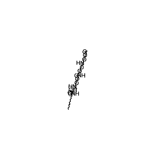 CCCCCCCCCCCC(=O)N[C@@H](CCCNCCOCCOCC(=O)NCCOCCOCCNCCOCCOCC(C)=O)C(=O)O